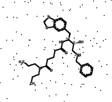 CCCN(CCC)C(=O)CCCC(=O)N[C@@H](Cc1ccc2c(c1)OCO2)[C@H](O)CNCc1ccccc1